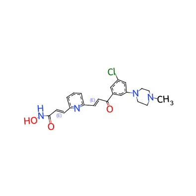 CN1CCN(c2cc(Cl)cc(C(=O)/C=C/c3cccc(/C=C/C(=O)NO)n3)c2)CC1